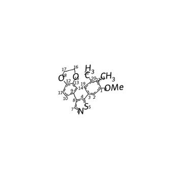 COc1cc(-c2sncc2-c2ccc3c(c2)OCCO3)cc(C)c1C